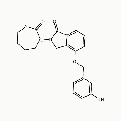 N#Cc1cccc(COc2cccc3c2CN([C@H]2CCCCNC2=O)C3=O)c1